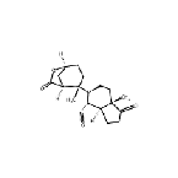 C[C@]1([C@H]2CC[C@]3(C)C(=O)CC[C@H]3[C@@H]2C=O)CC[C@H]2C[C@@H]1C(=O)O2